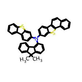 CC1(C)c2ccccc2-c2c(N(c3ccc4c(c3)sc3ccccc34)c3ccc4c(c3)sc3c5ccccc5ccc43)cccc21